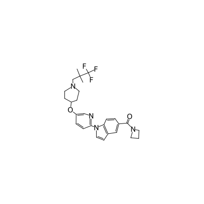 CC(C)(CN1CCC(Oc2ccc(-n3ccc4cc(C(=O)N5CCC5)ccc43)nc2)CC1)C(F)(F)F